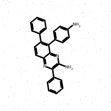 Nc1ccc(-c2c(-c3ccccc3)ccc3nc(-c4ccccc4)c(N)nc23)cc1